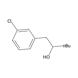 CCCCC(O)Cc1cccc(Cl)c1